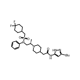 C[C@H](CN(c1ccccc1)S(=O)(=O)CC1CCC(F)(F)CC1)N1CCC(CC(=O)Nc2cc(C(C)(C)C)n[nH]2)CC1